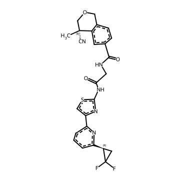 C[C@@]1(C#N)COCc2ccc(C(=O)NCC(=O)Nc3nc(-c4cccc([C@H]5CC5(F)F)n4)cs3)cc21